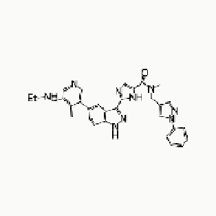 CCNCc1cncc(-c2ccc3[nH]nc(-c4ncc(C(=O)N(C)Cc5cnn(-c6ccccc6)c5)[nH]4)c3c2)c1C